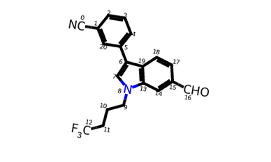 N#Cc1cccc(-c2cn(CCCC(F)(F)F)c3cc(C=O)ccc23)c1